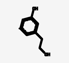 OCCc1c[c]cc(O)c1